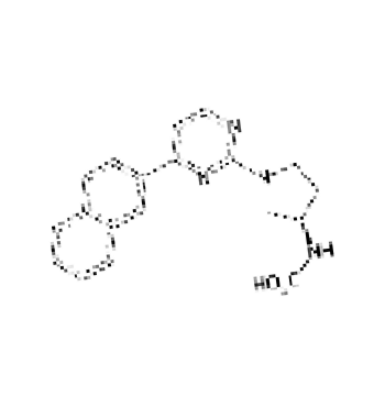 O=C(O)N[C@@H]1CCN(c2nccc(-c3ccc4ccccc4c3)n2)C1